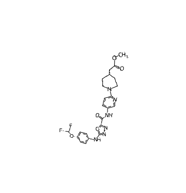 COC(=O)CC1CCN(c2ccc(NC(=O)c3nnc(Nc4ccc(OC(F)F)cc4)o3)cn2)CC1